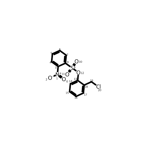 O=[N+]([O-])c1ccccc1S(=O)(=O)Oc1ccccc1CCl